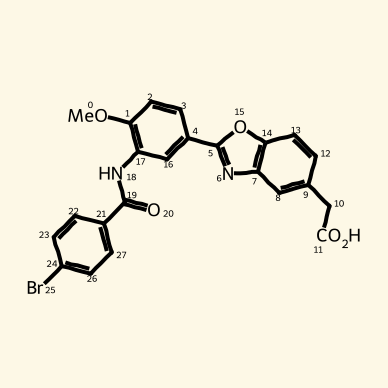 COc1ccc(-c2nc3cc(CC(=O)O)ccc3o2)cc1NC(=O)c1ccc(Br)cc1